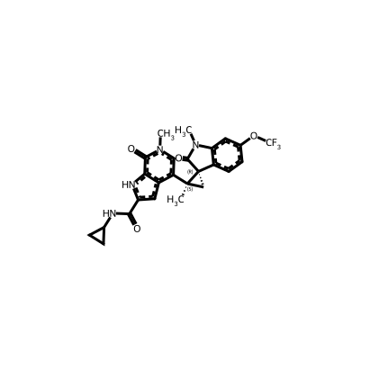 CN1C(=O)[C@@]2(C[C@@]2(C)c2cn(C)c(=O)c3[nH]c(C(=O)NC4CC4)cc23)c2ccc(OC(F)(F)F)cc21